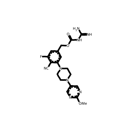 COc1ncc(N2CCN(c3cc(COC(=O)NC(=N)N)cc(F)c3C#N)CC2)cn1